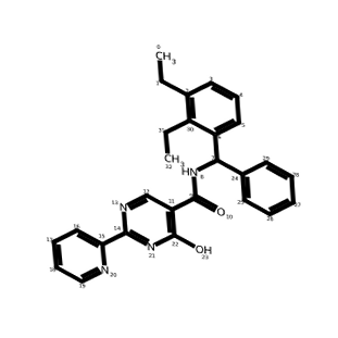 CCc1[c]ccc(C(NC(=O)c2cnc(-c3ccccn3)nc2O)c2ccccc2)c1CC